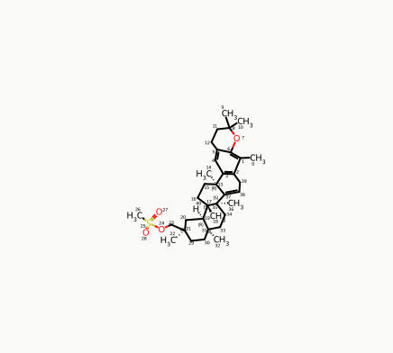 Cc1c2c(cc3c1OC(C)(C)CC3)[C@]1(C)CC[C@@]3(C)[C@@H]4C[C@](C)(COS(C)(=O)=O)CC[C@]4(C)CC[C@]3(C)C1=CC2